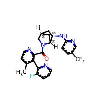 Cc1ccnc(C(=O)N2C[C@H]3C[C@@H](Nc4ccc(C(F)(F)F)cn4)[C@@H]2C3)c1-c1ncccc1F